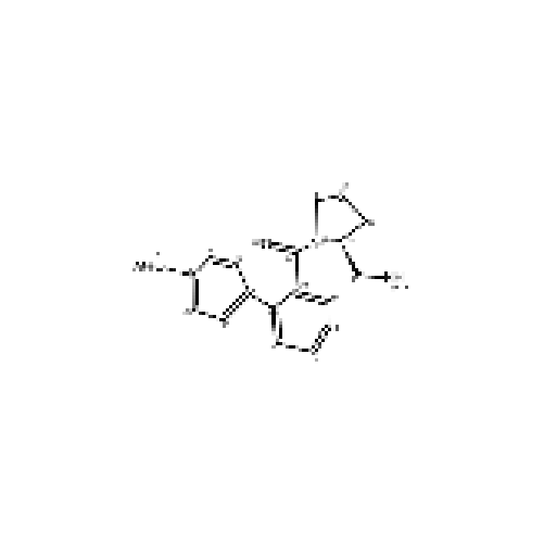 COc1ccc(-c2ccccc2C(=O)N2CSC[C@H]2CN)cc1